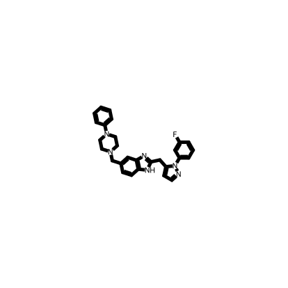 Fc1cccc(-n2nccc2Cc2nc3cc(CN4CCN(c5ccccc5)CC4)ccc3[nH]2)c1